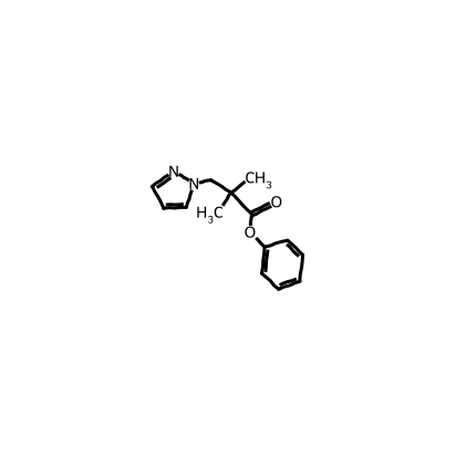 CC(C)(Cn1cccn1)C(=O)Oc1ccccc1